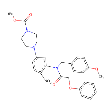 CC(C)(C)OC(=O)N1CCN(c2ccc([N+](=O)[O-])c(N(Cc3ccc(OC(F)(F)F)cc3)C(=O)COc3ccccc3)c2)CC1